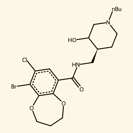 CCCCN1CC[C@@H](CNC(=O)c2cc(Cl)c(Br)c3c2OCCCO3)C(O)C1